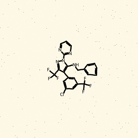 FC(F)(F)c1cc(Cl)cc(-c2c(C(F)(F)F)nn(-c3ncccn3)c2NCc2ccccc2)c1